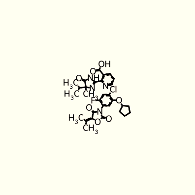 CC(C)=C1OC(=O)N(c2cc(OC3CCCC3)c(Cl)cc2F)C1=O.CC(C)C1(C)N=C(c2ncccc2C(=O)O)NC1=O